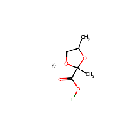 CC1COC(C)(C(=O)OF)O1.[K]